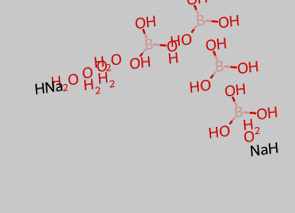 O.O.O.O.O.OB(O)O.OB(O)O.OB(O)O.OB(O)O.[NaH].[NaH]